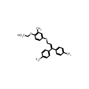 Cc1cc(SCC=C(c2ccc(C(F)(F)F)cc2)c2ccc(C(F)(F)F)cc2)ccc1OCC(=O)O